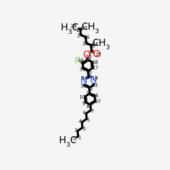 CCCCCCCCc1ccc(-c2cnc(-c3ccc(OC(=O)C(C)CCCC(C)C)c(F)c3)nc2)cc1